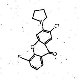 O=c1c2cc(Cl)c(N3CCCC3)cc2oc2c(F)cccc12